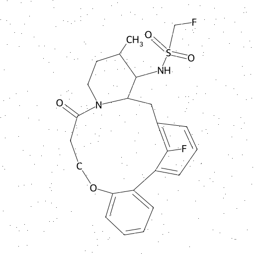 CC1CCN2C(=O)CCOc3ccccc3-c3cccc(c3F)CC2C1NS(=O)(=O)CF